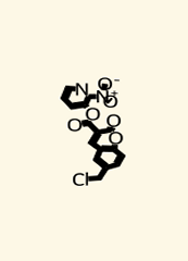 O=C(Oc1cccnc1[N+](=O)[O-])c1cc2cc(CCl)ccc2oc1=O